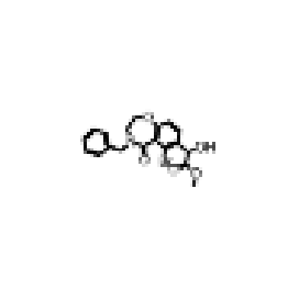 COC(=O)C(O)c1ccc2c(c1Br)C(=O)N(Cc1ccccc1)CCO2